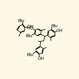 Cc1cc(O)c(C(C)(C)C)cc1C(C)CC(c1cc(C(C)(C)C)c(O)cc1C)c1cc(C(C)(C)C)c(O)cc1C.Cc1ccc(C(C)(C)C)c(O)c1